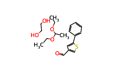 CCOC(C)OCC.O=Cc1csc(-c2ccccc2)c1.OCCO